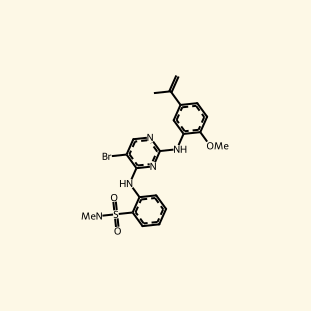 C=C(C)c1ccc(OC)c(Nc2ncc(Br)c(Nc3ccccc3S(=O)(=O)NC)n2)c1